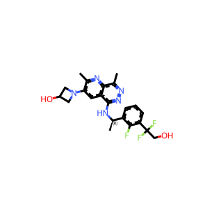 Cc1nc2c(C)nnc(N[C@H](C)c3cccc(C(F)(F)CO)c3F)c2cc1N1CC(O)C1